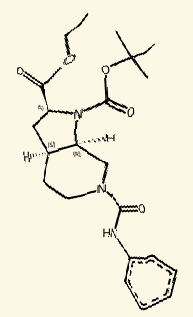 CCOC(=O)[C@@H]1C[C@@H]2CCN(C(=O)Nc3ccccc3)C[C@@H]2N1C(=O)OC(C)(C)C